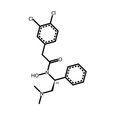 CN(C)C[C@H](c1ccccc1)N(O)C(=O)Cc1ccc(Cl)c(Cl)c1